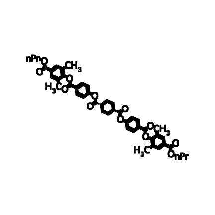 CCCOC(=O)c1cc(C)c(OC(=O)c2ccc(OC(=O)[C@H]3CC[C@H](C(=O)Oc4ccc(C(=O)Oc5c(C)cc(C(=O)OCCC)cc5C)cc4)CC3)cc2)c(C)c1